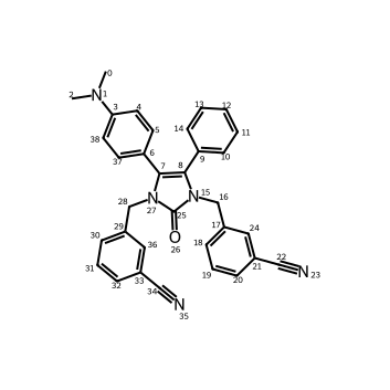 CN(C)c1ccc(-c2c(-c3ccccc3)n(Cc3cccc(C#N)c3)c(=O)n2Cc2cccc(C#N)c2)cc1